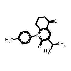 Cc1ccc(-n2c3c(cc(C(C)C)c2=O)C(=O)CCC3)cc1